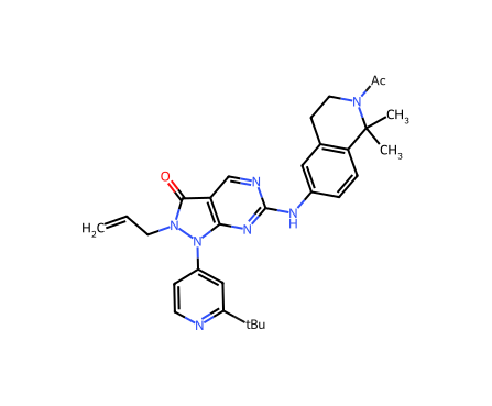 C=CCn1c(=O)c2cnc(Nc3ccc4c(c3)CCN(C(C)=O)C4(C)C)nc2n1-c1ccnc(C(C)(C)C)c1